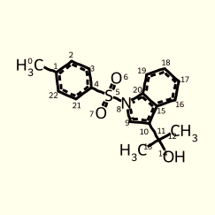 Cc1ccc(S(=O)(=O)n2cc(C(C)(C)O)c3ccccc32)cc1